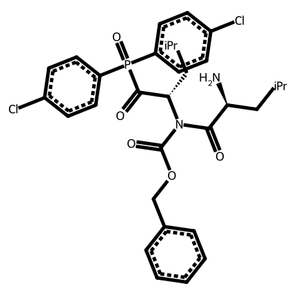 CC(C)C[C@H](N)C(=O)N(C(=O)OCc1ccccc1)[C@@H](CC(C)C)C(=O)P(=O)(c1ccc(Cl)cc1)c1ccc(Cl)cc1